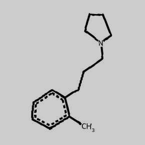 Cc1ccccc1CCCN1CCCC1